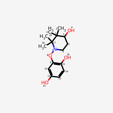 CC1(C)C(O)CCN(Oc2cc(O)ccc2O)C1(C)C